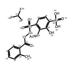 CC(=O)Nc1c(S(=O)(=O)OOC(=O)c2ccccc2C)ccc([As](=O)(O)O)c1O.FC(F)F